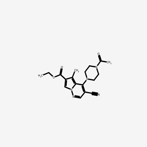 CCOC(=O)c1cn2ncc(C#N)c(N3CCN(C(C)=O)CC3)c2c1C